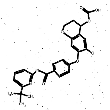 CC(C)(C)c1cccc(NC(=O)c2ccc(Oc3cc4c(cc3Cl)C(OC(=O)O)CCO4)cc2)n1